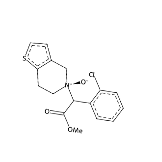 COC(=O)C(c1ccccc1Cl)[N@+]1([O-])CCc2sccc2C1